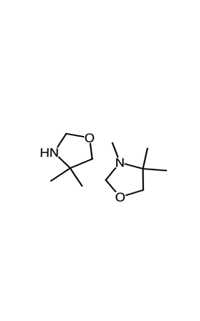 CC1(C)COCN1.CN1COCC1(C)C